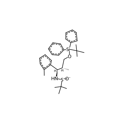 Cc1ccccc1[C@H](N[S+]([O-])C(C)(C)C)[C@@H](C)CO[Si](c1ccccc1)(c1ccccc1)C(C)(C)C